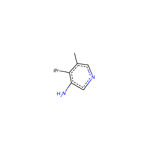 Cc1cncc(N)c1C(C)C